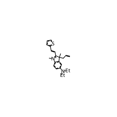 C=CCC1(C)C(/C=C/c2cccs2)=[N+](C)c2ccc(N(CC)CC)cc21